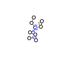 c1ccc(-c2cccc(-c3cc(-n4c5ccccc5c5c4ccc4c6ccccc6n(-c6ccccc6)c45)nc(-c4cccc5c4sc4ccccc45)n3)c2)cc1